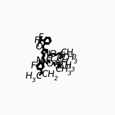 C=C(C)c1cc(F)c2nc(-c3cc(C(=O)c4ccccc4C(F)(F)F)cn3COCC[Si](C)(C)C)n(COCC[Si](C)(C)C)c2c1